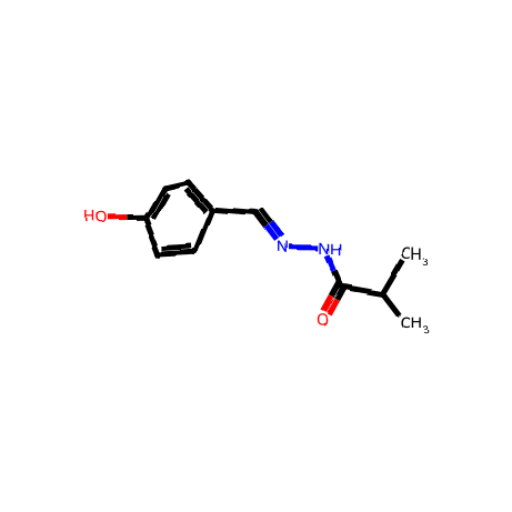 CC(C)C(=O)N/N=C/c1ccc(O)cc1